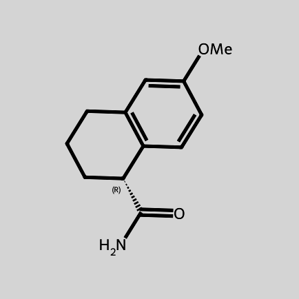 COc1ccc2c(c1)CCC[C@H]2C(N)=O